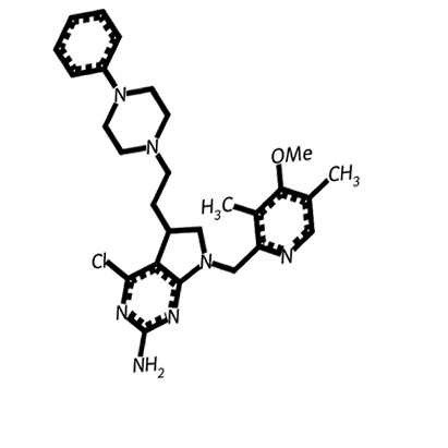 COc1c(C)cnc(CN2CC(CCN3CCN(c4ccccc4)CC3)c3c(Cl)nc(N)nc32)c1C